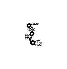 COc1ccc(/C=C2\Sc3ccc(S(=O)(=O)Cc4c(OC)cccc4OC)cc3NC2=O)cc1[N+](=O)[O-]